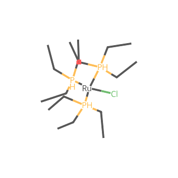 CC[PH](CC)(CC)[Ru]([Cl])([PH](CC)(CC)CC)[PH](CC)(CC)CC